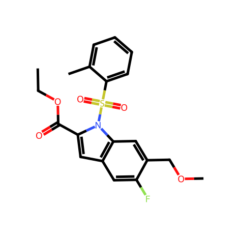 CCOC(=O)c1cc2cc(F)c(COC)cc2n1S(=O)(=O)c1ccccc1C